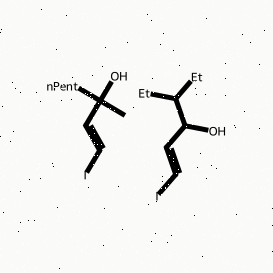 CCC(CC)C(O)C=CI.CCCCCC(C)(O)C=CI